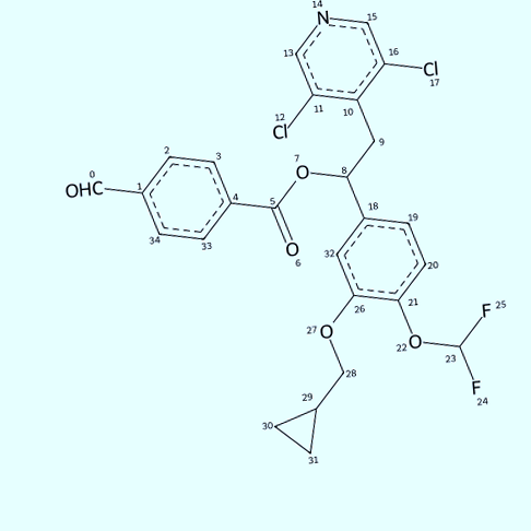 O=Cc1ccc(C(=O)OC(Cc2c(Cl)cncc2Cl)c2ccc(OC(F)F)c(OCC3CC3)c2)cc1